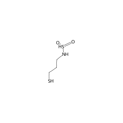 O=[SH](=O)NCCCS